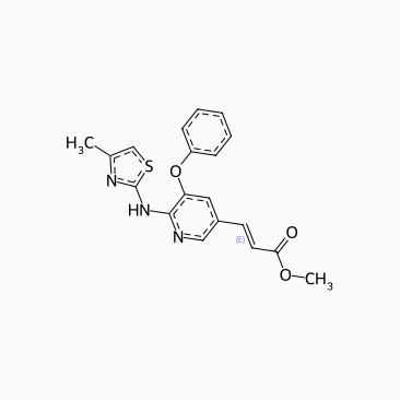 COC(=O)/C=C/c1cnc(Nc2nc(C)cs2)c(Oc2ccccc2)c1